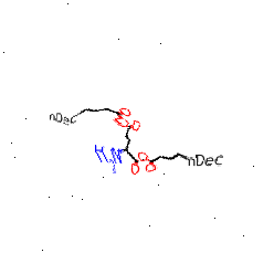 CCCCCCCCCCCCCC(=O)OC(=O)CCC(N)C(=O)OC(=O)CCCCCCCCCCCCC